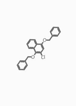 Clc1cc(OCc2ccccc2)c2ccccc2c1OCc1ccccc1